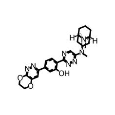 CN(c1cnc(-c2ccc(-c3cc4c(nn3)OCCO4)cc2O)nn1)[C@@H]1C[C@H]2CCC[C@@H](C1)N2